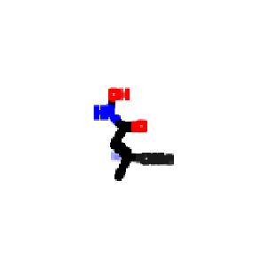 CO/C(C)=C\C(=O)NO